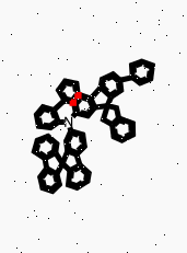 c1ccc(-c2ccc3c(c2)C2(Cc4ccccc4C2)c2cc(N(c4ccc5c(c4)C4(c6ccccc6-c6ccccc64)c4ccccc4-5)c4ccccc4-c4ccccc4)ccc2-3)cc1